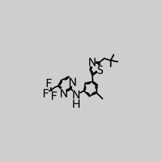 Cc1cc(Nc2nccc(C(F)(F)F)n2)cc(-c2cnc(CC(C)(C)C)s2)c1